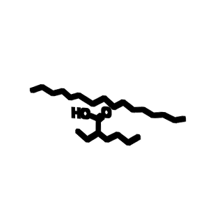 CCCCC(CC)C(=O)O.CCCCCCCCCCCCCCCC